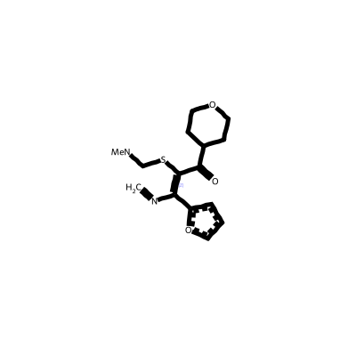 C=N/C(=C(\SCNC)C(=O)C1CCOCC1)c1ccco1